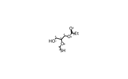 CCC(=O)OCC(CO)OCS